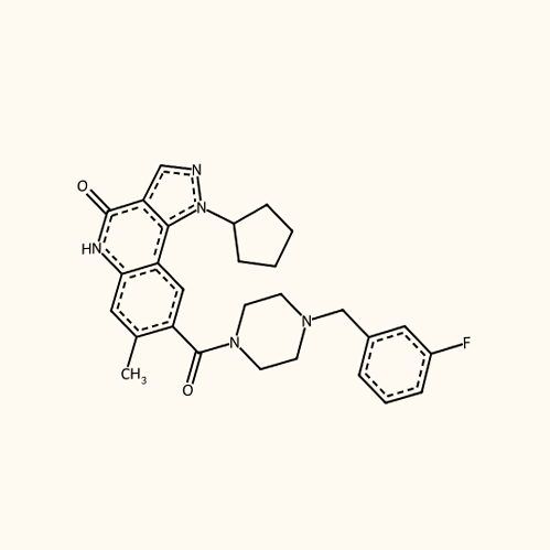 Cc1cc2[nH]c(=O)c3cnn(C4CCCC4)c3c2cc1C(=O)N1CCN(Cc2cccc(F)c2)CC1